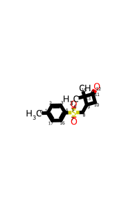 Cc1ccc(S(=O)(=O)CC2CC(=O)C2(C)C)cc1